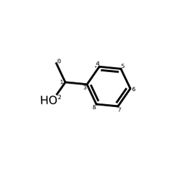 CC(O)c1[c]cccc1